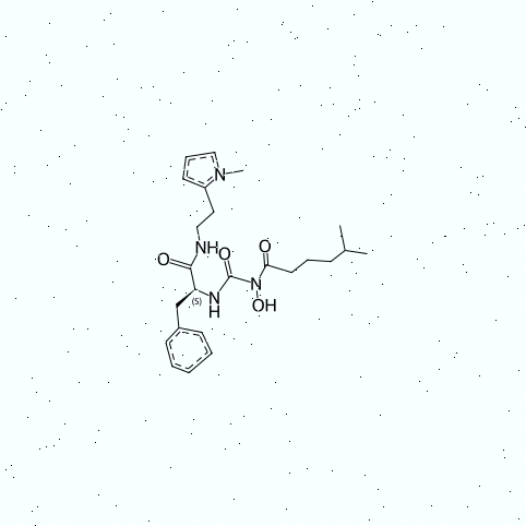 CC(C)CCCC(=O)N(O)C(=O)N[C@@H](Cc1ccccc1)C(=O)NCCc1cccn1C